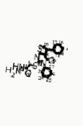 NNC(=O)CSc1nc2scc(-c3ccccc3)c2c(=O)n1-c1ccccc1